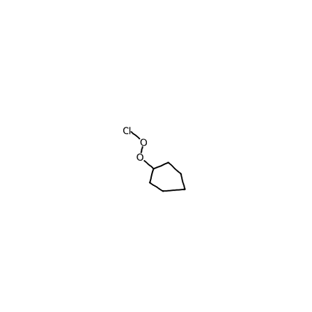 ClOOC1CCCCC1